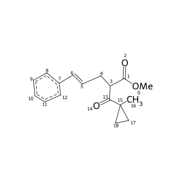 COC(=O)C(CC=Cc1ccccc1)C(=O)C1(C)CC1